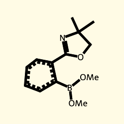 COB(OC)c1ccccc1C1=NC(C)(C)CO1